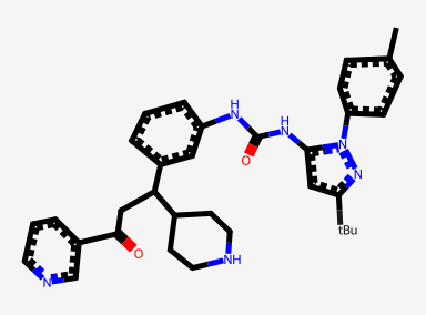 Cc1ccc(-n2nc(C(C)(C)C)cc2NC(=O)Nc2cccc(C(CC(=O)c3cccnc3)C3CCNCC3)c2)cc1